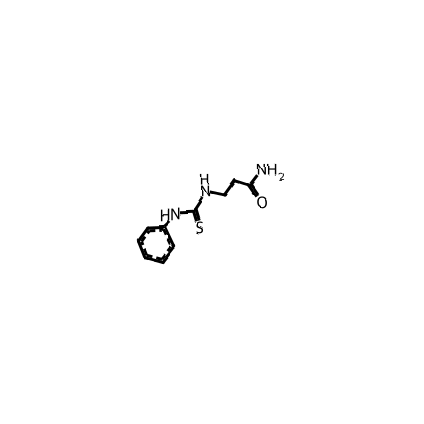 NC(=O)CCNC(=S)Nc1ccccc1